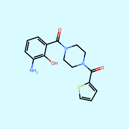 Nc1cccc(C(=O)N2CCN(C(=O)c3cccs3)CC2)c1O